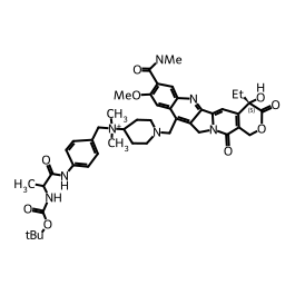 CC[C@@]1(O)C(=O)OCc2c1cc1n(c2=O)Cc2c-1nc1cc(C(=O)NC)c(OC)cc1c2CN1CCC([N+](C)(C)Cc2ccc(NC(=O)C(C)NC(=O)OC(C)(C)C)cc2)CC1